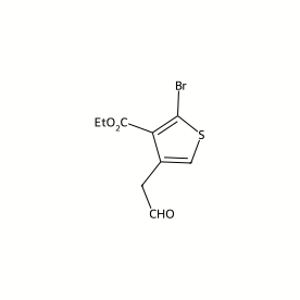 CCOC(=O)c1c(CC=O)csc1Br